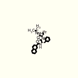 CC(C)=NNC(=O)[C@@H](CC(C)C)NC(=O)[C@H](Cc1ccccc1)NC(=O)c1ccc2ccccc2c1